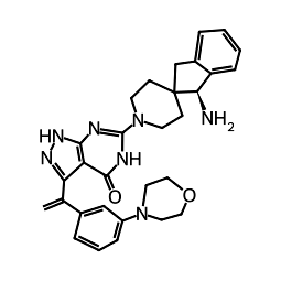 C=C(c1cccc(N2CCOCC2)c1)c1n[nH]c2nc(N3CCC4(CC3)Cc3ccccc3[C@H]4N)[nH]c(=O)c12